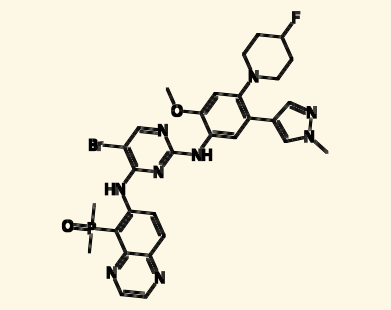 COc1cc(N2CCC(F)CC2)c(-c2cnn(C)c2)cc1Nc1ncc(Br)c(Nc2ccc3nccnc3c2P(C)(C)=O)n1